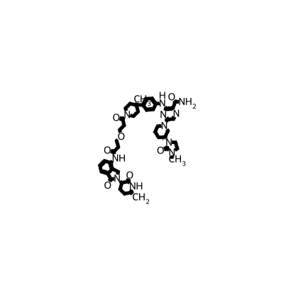 C=C1CCC(N2Cc3c(NC(=O)CCOCCC(=O)N4CCC(C)(c5ccc(Nc6nc(N7CCC[C@@H](N8CCN(C)C8=O)C7)cnc6C(N)=O)cc5)CC4)cccc3C2=O)C(=O)N1